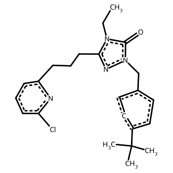 CCn1c(CCCc2cccc(Cl)n2)nn(Cc2ccc(C(C)(C)C)cc2)c1=O